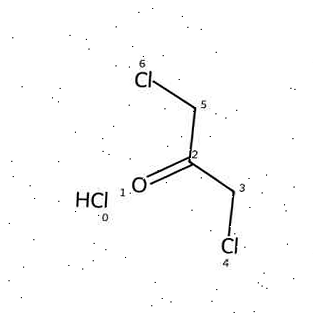 Cl.O=C(CCl)CCl